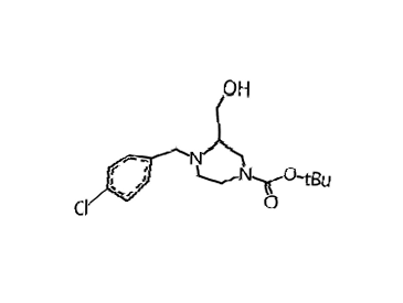 CC(C)(C)OC(=O)N1CCN(Cc2ccc(Cl)cc2)C(CO)C1